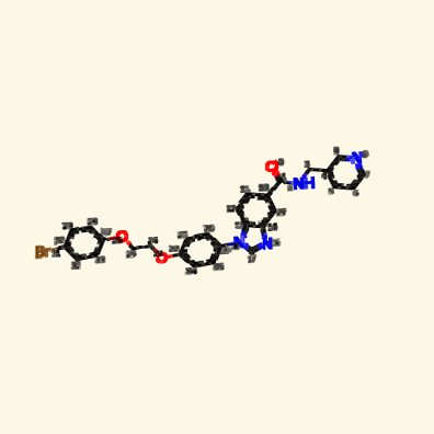 O=C(NCc1cccnc1)c1ccc2c(c1)ncn2-c1ccc(OCCOc2ccc(Br)cc2)cc1